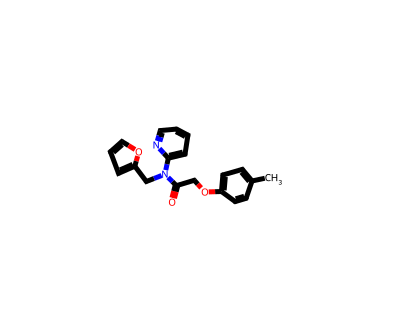 Cc1ccc(OCC(=O)N(Cc2ccco2)c2ccccn2)cc1